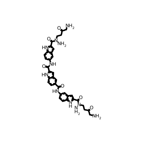 NCC(=O)CCN(N)C(=O)c1cc2cc(NC(=O)c3ccc4[nH]c(C(=O)Nc5ccc6[nH]c(C(=O)N(N)CCC(=O)CN)cc6c5)cc4c3)ccc2[nH]1